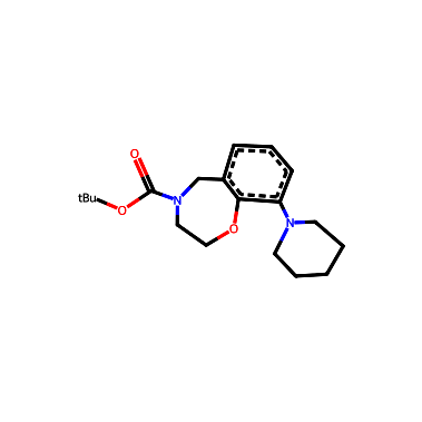 CC(C)(C)OC(=O)N1CCOc2c(cccc2N2CCCCC2)C1